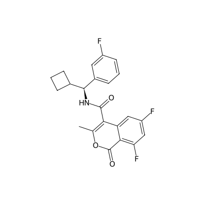 Cc1oc(=O)c2c(F)cc(F)cc2c1C(=O)N[C@H](c1cccc(F)c1)C1CCC1